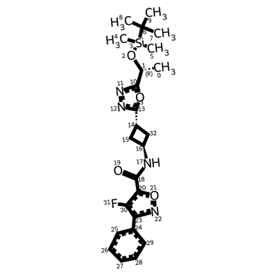 C[C@@H](O[Si](C)(C)C(C)(C)C)c1nnc([C@H]2C[C@H](NC(=O)c3onc(-c4ccccc4)c3F)C2)o1